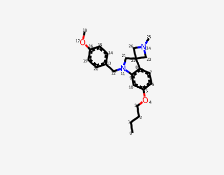 CCCCOc1ccc2c(c1)N(Cc1ccc(OC)cc1)CC21CN(C)C1